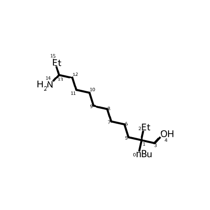 CCCCC(CC)(CO)CCCCCCCCC(N)CC